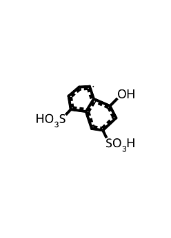 O=S(=O)(O)c1cc(O)c2[c]ccc(S(=O)(=O)O)c2c1